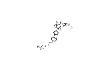 CCCCCCc1ccc(-c2ccc(C(=O)OC(COC)C(F)(F)F)cc2)nc1